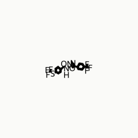 O=C(Nc1nnc(-c2ccc(C(F)(F)F)cc2)o1)c1ccc(SC(F)(F)F)cc1